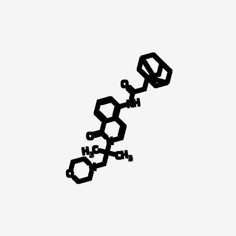 CC(C)(CN1CCOCC1)n1ccc2c(NC(=O)CC34CC5CC(CC(C5)C3)C4)cccc2c1=O